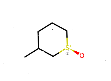 CC1CCC[S@@+]([O-])C1